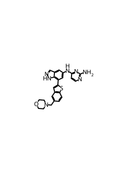 Nc1nccc(Nc2cc(-c3cc4cc(CN5CCOCC5)ccc4s3)c3[nH]ncc3c2)n1